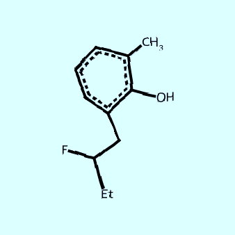 CCC(F)Cc1cccc(C)c1O